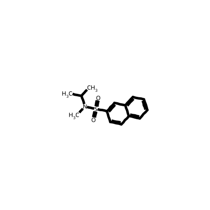 CC(C)N(C)S(=O)(=O)c1ccc2ccccc2c1